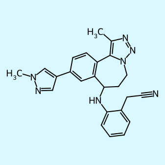 Cc1nnn2c1-c1ccc(-c3cnn(C)c3)cc1C(Nc1ccccc1CC#N)CC2